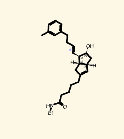 CCNC(=O)CCCCC1=C[C@H]2C[C@@H](O)[C@H](/C=C/CCc3cccc(C)c3)[C@H]2C1